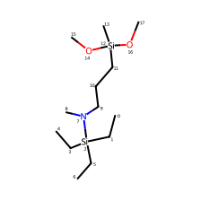 CC[Si](CC)(CC)N(C)CCC[Si](C)(OC)OC